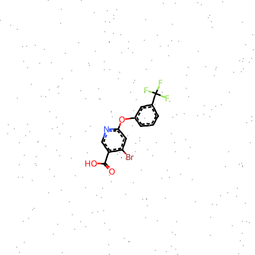 O=C(O)c1cnc(Oc2cccc(C(F)(F)F)c2)cc1Br